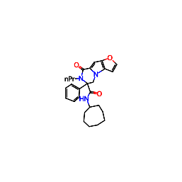 CCCN1C(=O)c2cc3occc3n2CC1(C(=O)NC1CCCCCCC1)c1ccccc1